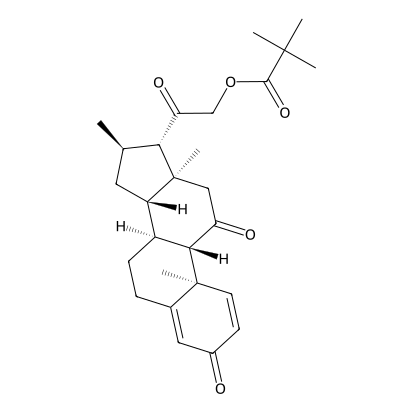 C[C@@H]1C[C@H]2[C@@H]3CCC4=CC(=O)C=C[C@]4(C)[C@H]3C(=O)C[C@]2(C)[C@H]1C(=O)COC(=O)C(C)(C)C